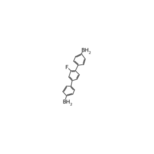 Bc1ccc(-c2ccc(-c3ccc(B)cc3)c(F)c2)cc1